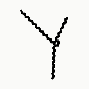 CCCCCCCCCCCCCCCCCCc1n(CCCCCCCCCCCCC)cc[n+]1CCCCCCCCCC